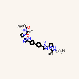 CCC[C@@H](CN1CCC[C@H]1c1ncc(-c2ccc(-c3ccc(-c4cnc([C@@H]5CCCN5C(=O)[C@@H](NC(=O)OC)C(C)C)[nH]4)cc3)cc2)[nH]1)NC(=O)O